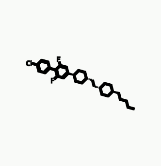 CCCCC[C@H]1CC[C@H](CC[C@H]2CC[C@H](c3cc(F)c(-c4ccc(Cl)cc4)c(F)c3)CC2)CC1